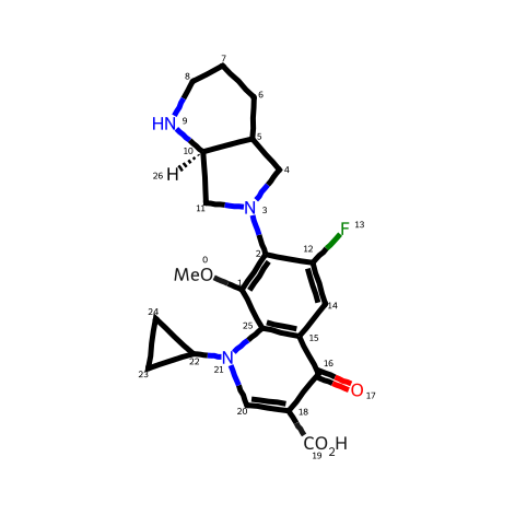 COc1c(N2CC3CCCN[C@@H]3C2)c(F)cc2c(=O)c(C(=O)O)cn(C3CC3)c12